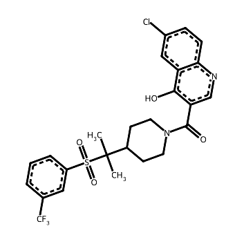 CC(C)(C1CCN(C(=O)c2cnc3ccc(Cl)cc3c2O)CC1)S(=O)(=O)c1cccc(C(F)(F)F)c1